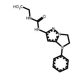 O=C(O)CNC(=O)Nc1cc2n(n1)CCN2c1ccccc1